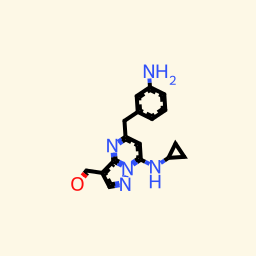 Nc1cccc(Cc2cc(NC3CC3)n3ncc(C=O)c3n2)c1